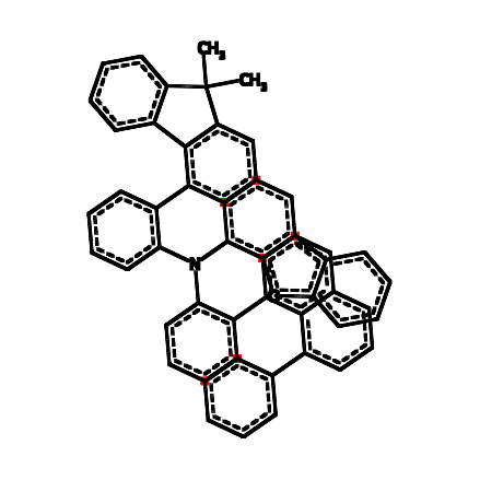 CC1(C)c2ccccc2-c2c(-c3ccccc3N(c3ccccc3-c3cccc4cccc(-c5ccccc5)c34)c3cccc4c3oc3ccccc34)cccc21